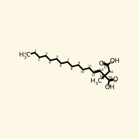 CCCCCCCCCCCCC=CC(C)(CC(=O)O)C(=O)O